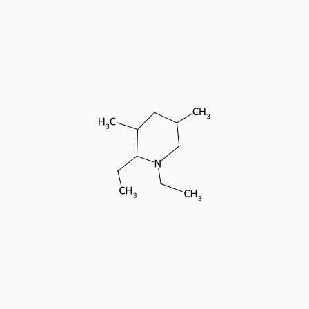 CCC1C(C)CC(C)CN1CC